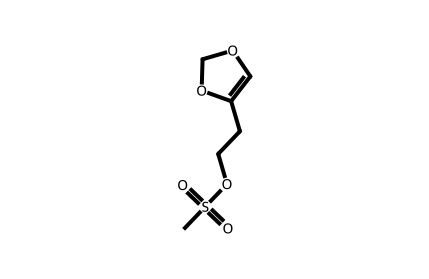 CS(=O)(=O)OCCC1=COCO1